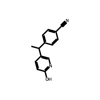 CC(c1ccc(C#N)cc1)c1ccc(O)nc1